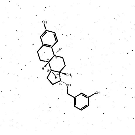 C[C@]12CC[C@@H]3c4ccc(O)cc4CC[C@H]3[C@@H]1CC[C@H]2NCc1cccc(O)c1